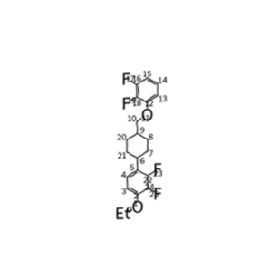 CCOC1=CC=C(C2CCC(COc3cccc(F)c3F)CC2)C(F)C1F